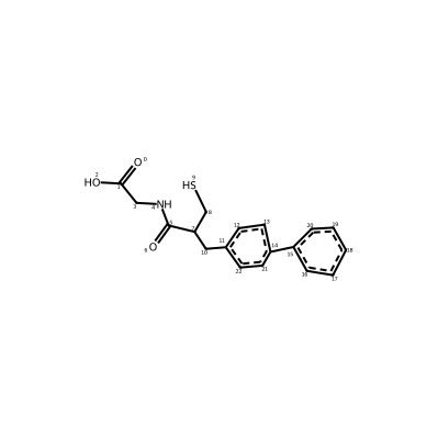 O=C(O)CNC(=O)C(CS)Cc1ccc(-c2ccccc2)cc1